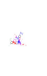 CCOCCOC(=O)n1nc(NC(=O)c2ccc(CC(C)N(C)C)cc2NC(C)COC)c2cc(S(=O)(=O)c3cc(F)cc(F)c3)ccc21